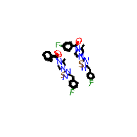 CC1CN(c2nc(Cc3ccc(F)cc3)ns2)CCN1C(=O)c1ccc(F)cc1.CC1CN(c2nc(Cc3ccc(F)cc3)ns2)CCN1C(=O)c1ccccc1